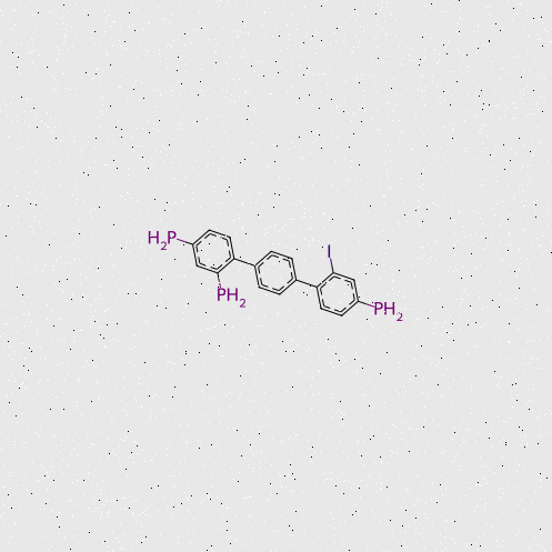 Pc1ccc(-c2ccc(-c3ccc(P)cc3I)cc2)c(P)c1